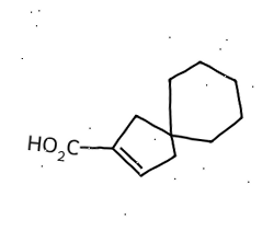 O=C(O)C1=CCC2(CCCCC2)C1